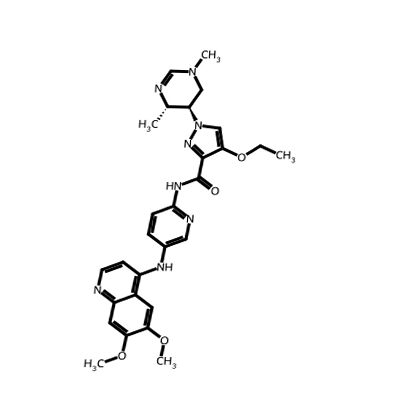 CCOc1cn([C@@H]2CN(C)C=N[C@H]2C)nc1C(=O)Nc1ccc(Nc2ccnc3cc(OC)c(OC)cc23)cn1